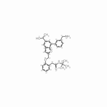 CC(O)c1cc(-c2cccc(CN)c2)c2oc(COc3ccccc3CC(=O)OC(C)(C)C)cc2c1